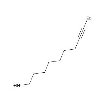 CCC#CCCCCCCC[NH]